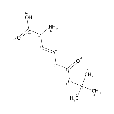 CC(C)(C)OC(=O)CC=CC(N)C(=O)O